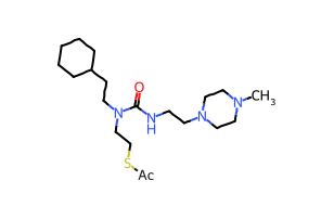 CC(=O)SCCN(CCC1CCCCC1)C(=O)NCCN1CCN(C)CC1